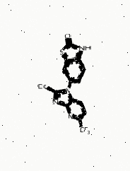 CCc1nc2nc(C(F)(F)F)ccc2n1-c1ccc2[nH]c(=O)sc2c1